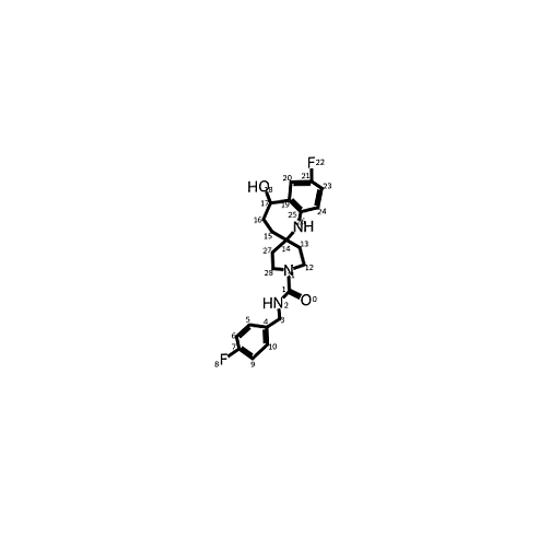 O=C(NCc1ccc(F)cc1)N1CCC2(CCC(O)c3cc(F)ccc3N2)CC1